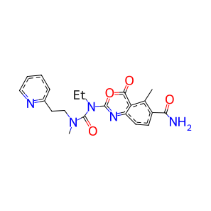 CCN(C(=O)N(C)CCc1ccccn1)c1nc2ccc(C(N)=O)c(C)c2c(=O)o1